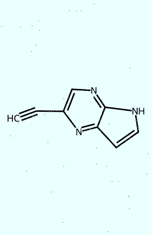 C#Cc1cnc2[nH]ccc2n1